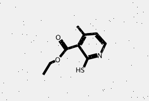 CCOC(=O)c1c(C)ccnc1S